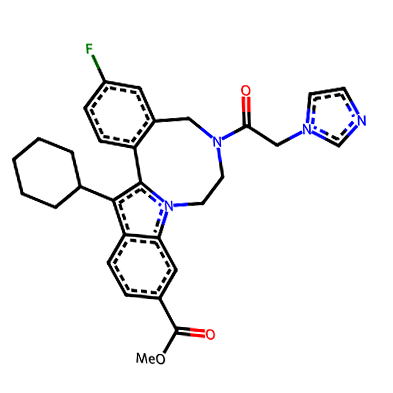 COC(=O)c1ccc2c(C3CCCCC3)c3n(c2c1)CCN(C(=O)Cn1ccnc1)Cc1cc(F)ccc1-3